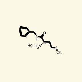 Cl.N[C@@H](CCSC(F)(F)F)C(=O)NCc1ccccc1